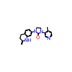 C=C1CCc2ccc(N3CCN(c4cnccc4C)C3=O)cc2N1